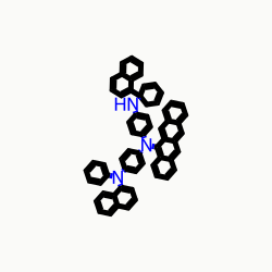 C1=CCC(Nc2ccc(N(c3ccc(N(c4ccccc4)c4cccc5ccccc45)cc3)c3c4ccccc4cc4cc5ccccc5cc34)cc2)(c2cccc3ccccc23)C=C1